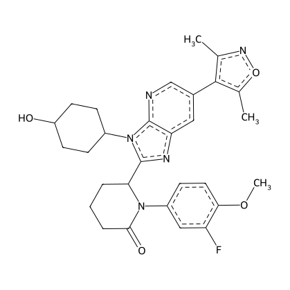 COc1ccc(N2C(=O)CCCC2c2nc3cc(-c4c(C)noc4C)cnc3n2C2CCC(O)CC2)cc1F